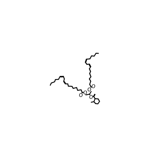 C=C(OC(COC(=O)CCCCCCC/C=C\C/C=C\CCCCC)COC(=O)CCCCCCC/C=C\C/C=C\CCCCC)C1CCCCC1C